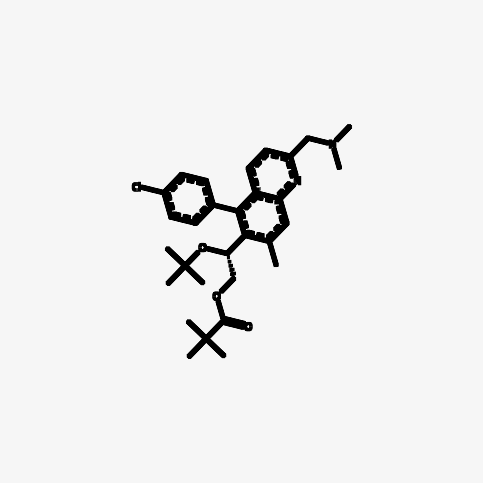 Cc1cc2nc(CN(C)C)ccc2c(-c2ccc(Cl)cc2)c1[C@H](COC(=O)C(C)(C)C)OC(C)(C)C